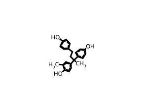 Cc1cc(C(C)(CCc2ccc(O)cc2)c2ccc(O)cc2)ccc1O